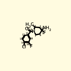 CC1CC(N)(F)CCN1C(=O)c1ccc(Cl)c(F)c1